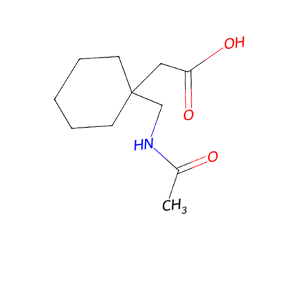 CC(=O)NCC1(CC(=O)O)CCCCC1